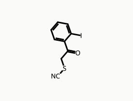 N#CSCC(=O)c1ccccc1I